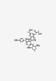 CCCCc1ccc(-c2nn3c(OC(=O)N(CC(=O)C(C)O)CC(=O)C(C)O)c(C#N)c(C(=O)OC4C(CCCC)CC(C)CC4CCCC)c3[nH]2)cc1